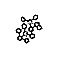 c1ccc(-c2cc(-c3c(-c4ccccc4)cccc3-c3ccccc3)nc(-c3ccccc3-c3ccc(-c4nc(-c5ccccc5)cc(-c5ccccc5)n4)c(-c4cccc5ccccc45)c3)n2)cc1